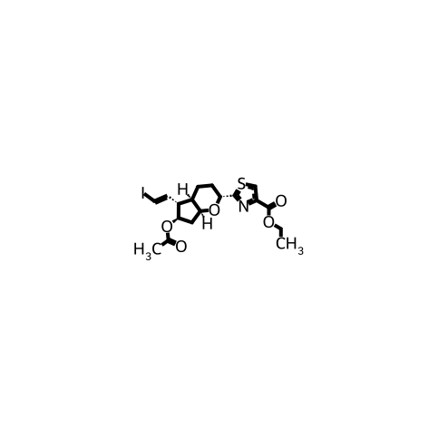 CCOC(=O)c1csc([C@H]2CC[C@@H]3[C@@H](/C=C/I)[C@H](OC(C)=O)C[C@@H]3O2)n1